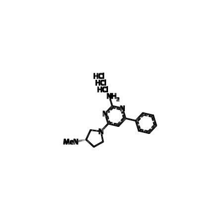 CN[C@H]1CCN(c2cc(-c3ccccc3)nc(N)n2)C1.Cl.Cl.Cl